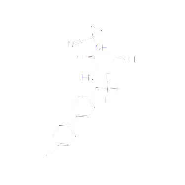 CCC[C@H](N[C@@H](c1ccc(-c2ccc(Cl)cc2)cc1)C(F)(F)F)C(=O)NC1(C#N)CC1